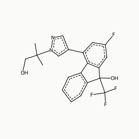 CC(C)(CO)n1cc(-c2cc(F)cc3c2-c2ccccc2C3(O)C(F)(F)F)cn1